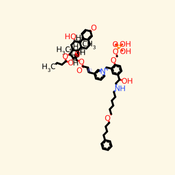 CCCC1O[C@@H]2C[C@H]3[C@@H]4CCC5=CC(=O)C=C[C@]5(C)[C@H]4[C@@H](O)C[C@]3(C)[C@]2(C(=O)COC(=O)/C=C/c2ccc[n+](Cc3cc(C(O)CNCCCCCCOCCCCc4ccccc4)ccc3OCOP(=O)(O)O)c2)O1